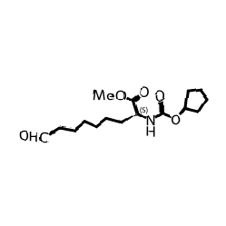 COC(=O)[C@H](CCCCCCC=O)NC(=O)OC1CCCC1